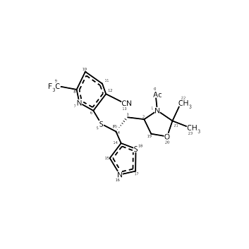 CC(=O)N1C(C[C@@H](Sc2nc(C(F)(F)F)ccc2C#N)c2cncs2)COC1(C)C